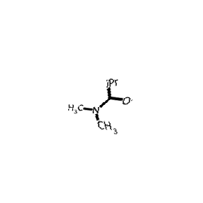 CC(C)C([O])N(C)C